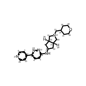 c1cc(-c2ccc(NC3C[C@@H]4CN(CC5CCOCC5)C[C@@H]4C3)nn2)ccn1